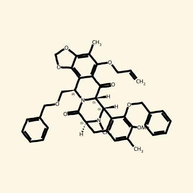 C=CCOc1c(C)c2c(c3c1C(=O)[C@@H]1[C@@H]4c5c(cc(C)c(OC)c5OCc5ccccc5)C[C@@H](C(=O)N1[C@H]3COCc1ccccc1)N4C)OCO2